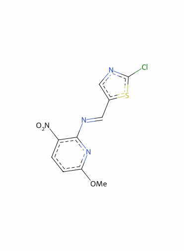 COc1ccc([N+](=O)[O-])c(N=Cc2cnc(Cl)s2)n1